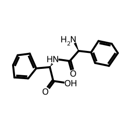 N[C@H](C(=O)N[C@H](C(=O)O)c1ccccc1)c1ccccc1